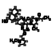 C=CC(=O)N1CC(C)N(c2nc(OCC3CCCN3C)nc3c2CCC(c2cc(O)cc4ccccc24)C3)C(C)C1